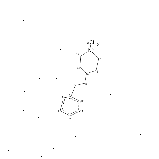 [CH2]N1CCC(CCc2ccccc2)CC1